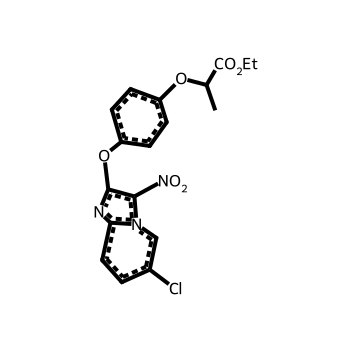 CCOC(=O)C(C)Oc1ccc(Oc2nc3ccc(Cl)cn3c2[N+](=O)[O-])cc1